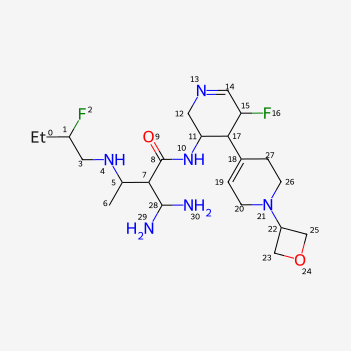 CCC(F)CNC(C)C(C(=O)NC1CN=CC(F)C1C1=CCN(C2COC2)CC1)C(N)N